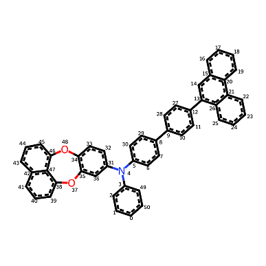 c1ccc(N(c2ccc(-c3ccc(-c4cc5ccccc5c5ccccc45)cc3)cc2)c2ccc3c(c2)Oc2cccc4cccc(c24)O3)cc1